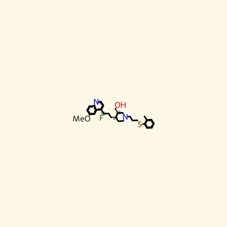 COc1ccc2nccc([C@@H](F)CC[C@@H]3CCN(CCCSc4ccccc4C)C[C@@H]3CO)c2c1